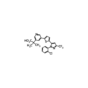 CC(C)(C(=O)O)c1cncc(-c2ccc(-c3cc(C(F)(F)F)nn3-c3ccccc3Cl)s2)c1